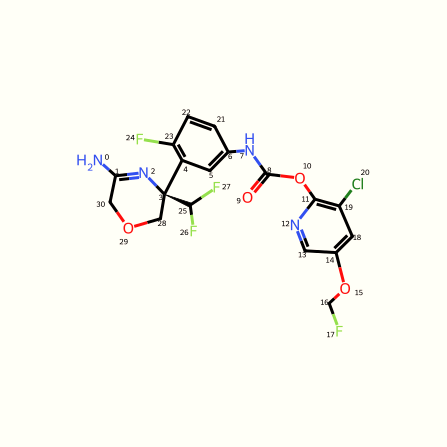 NC1=N[C@@](c2cc(NC(=O)Oc3ncc(OCF)cc3Cl)ccc2F)(C(F)F)COC1